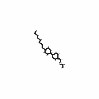 CCCCCCCCC1CCC(C2CCC(COCC)CC2)CC1